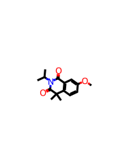 COc1ccc2c(c1)C(=O)N(C(C)C)C(=O)C2(C)C